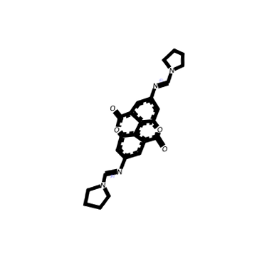 O=c1oc2cc(/N=C/N3CCCC3)cc3c(=O)oc4cc(/N=C/N5CCCC5)cc1c4c23